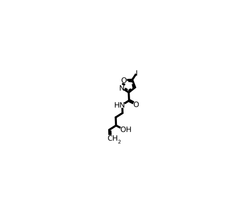 C=CC(O)CCNC(=O)c1cc(I)on1